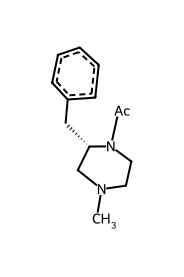 CC(=O)N1CCN(C)C[C@@H]1Cc1ccccc1